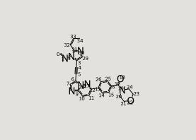 C=Nn1c(C#Cc2cnc3ccc(-c4ccc(C(=O)N5CCOCC5)cc4)nn23)cnc1/C=C\C